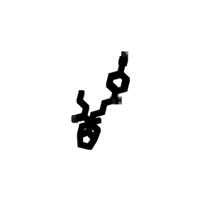 CCCC(=O)N(C)C1C2CCC1CN(CCCNc1ccc(C#N)cc1)C2